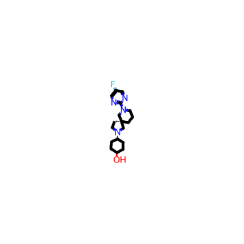 O[C@H]1CC[C@H](N2CC[C@]3(CCCN(c4ncc(F)cn4)C3)C2)CC1